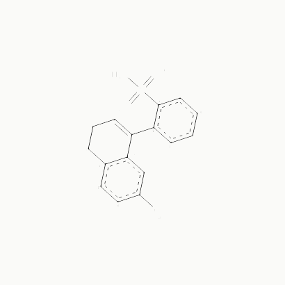 CS(=O)(=O)c1ccccc1C1=CCCc2ccc(C(=O)O)cc21